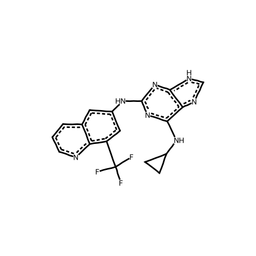 FC(F)(F)c1cc(Nc2nc(NC3CC3)c3nc[nH]c3n2)cc2cccnc12